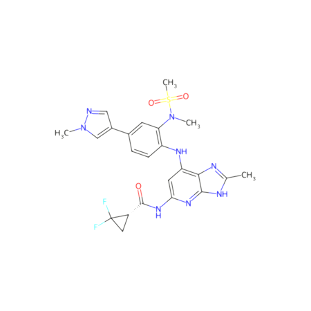 Cc1nc2c(Nc3ccc(-c4cnn(C)c4)cc3N(C)S(C)(=O)=O)cc(NC(=O)[C@@H]3CC3(F)F)nc2[nH]1